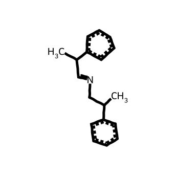 CC(C=NCC(C)c1ccccc1)c1ccccc1